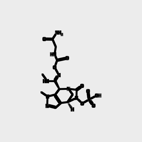 CN/C(=N\OC(=O)NCC(N)=O)[C@@H]1c2c(cnn2C)[C@H]2CN1C(=O)N2OS(=O)(=O)O